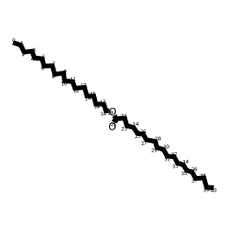 CCCCCCCCCCCCCCCCCCCOC(=O)CCCCCCCCCCCCCCCCCCC